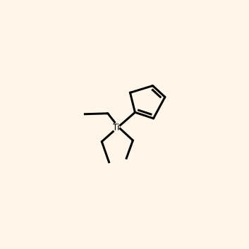 C[CH2][Ti]([CH2]C)([CH2]C)[C]1=CC=CC1